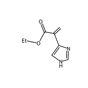 C=C(C(=O)OCC)c1c[nH]cn1